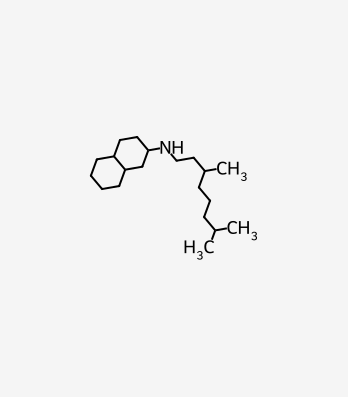 CC(C)CCCC(C)CCNC1CCC2CCCCC2C1